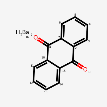 O=C1c2ccccc2C(=O)c2ccccc21.[BaH2]